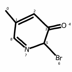 CC1=CC(=O)C(Br)N=C1